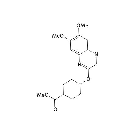 COC(=O)C1CCC(Oc2cnc3cc(OC)c(OC)cc3n2)CC1